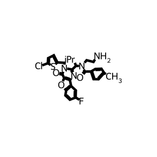 Cc1ccc(C(=O)N(CCN)C(c2nc3c(oc4ccc(F)cc43)c(=O)n2Cc2ccc(Cl)s2)C(C)C)cc1